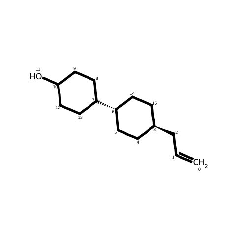 C=CC[C@H]1CC[C@H](C2CCC(O)CC2)CC1